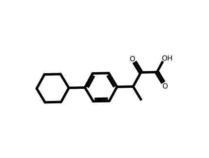 CC(C(=O)C(=O)O)c1ccc(C2CCCCC2)cc1